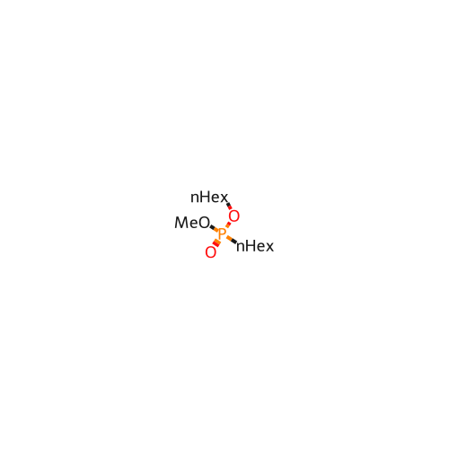 CCCCCCOP(=O)(CCCCCC)OC